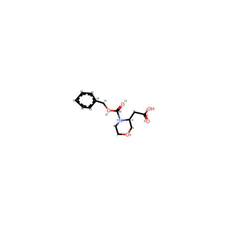 O=C(O)CC1COCCN1C(=O)OCc1ccccc1